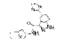 CN1C2CCCC1CC(NC(=O)c1n[nH]c3ccc(-c4nccn4C)cc13)C2